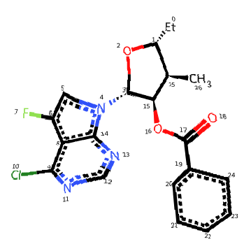 CC[C@H]1O[C@@H](n2cc(F)c3c(Cl)ncnc32)[C@H](OC(=O)c2ccccc2)[C@@H]1C